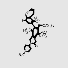 Cc1c(-c2c(C)c3c(c(C)c2CC(=O)O)CC(=O)N(C2CCN(C)CC2)C3)cc(F)c2c1CCCO2